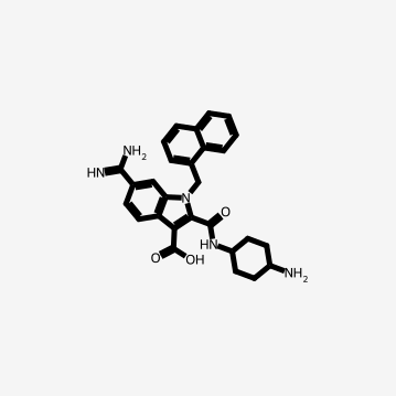 N=C(N)c1ccc2c(C(=O)O)c(C(=O)NC3CCC(N)CC3)n(Cc3cccc4ccccc34)c2c1